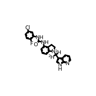 [2H]C([2H])(c1c[nH]c2ncccc12)N1CCc2c(NC(=O)Nc3cc(Cl)ccc3F)cccc21